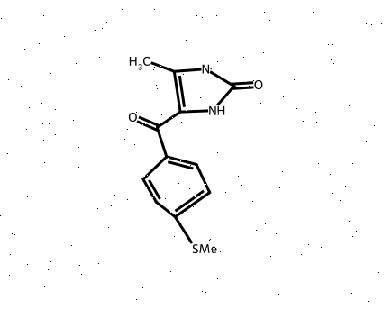 CSc1ccc(C(=O)C2=C(C)[N]C(=O)N2)cc1